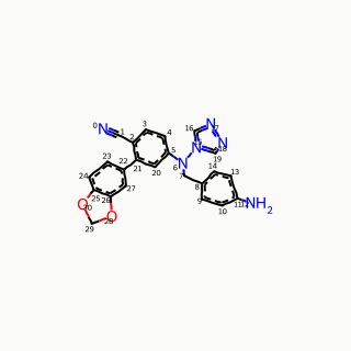 N#Cc1ccc(N(Cc2ccc(N)cc2)n2cnnc2)cc1-c1ccc2c(c1)OCO2